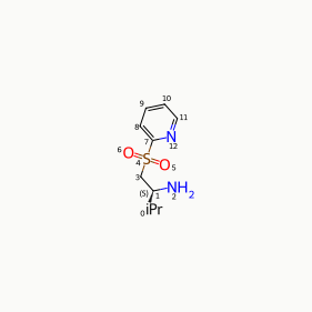 CC(C)[C@H](N)CS(=O)(=O)c1ccccn1